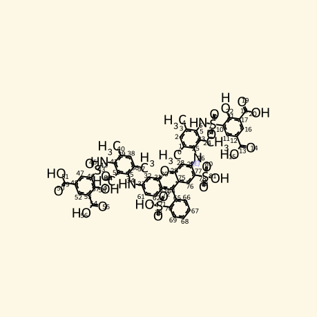 Cc1cc(C)c(NS(=O)(=O)c2cc(C(=O)O)cc(C(=O)O)c2O)c(C)c1/N=c1\cc2oc3cc(Nc4c(C)cc(C)c(NS(=O)(=O)c5cc(C(=O)O)cc(C(=O)O)c5O)c4C)ccc3c(-c3ccccc3S(=O)(=O)O)c-2cc1S(=O)(=O)O